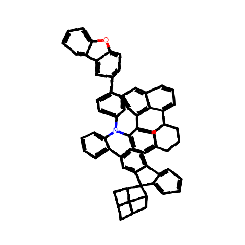 c1ccc(N(c2ccc(-c3ccc4oc5ccccc5c4c3)cc2)c2ccccc2-c2cccc3cccc(C4CCCCC4)c23)c(-c2ccc3c(c2)C2(c4ccccc4-3)C3CC4CC5CC2C453)c1